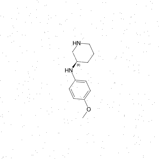 COc1ccc(N[C@@H]2CCCNC2)cc1